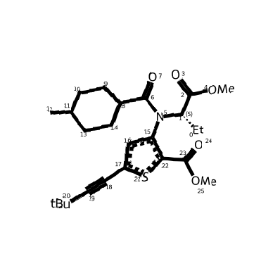 CC[C@@H](C(=O)OC)N(C(=O)C1CCC(C)CC1)c1cc(C#CC(C)(C)C)sc1C(=O)OC